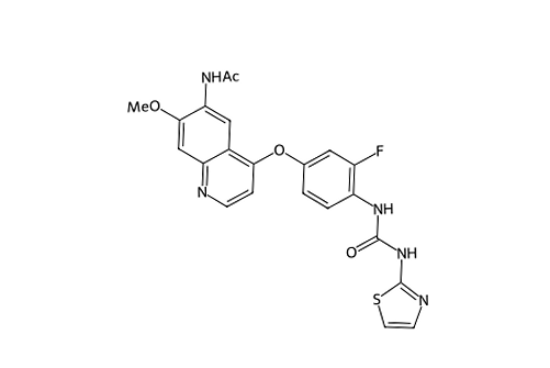 COc1cc2nccc(Oc3ccc(NC(=O)Nc4nccs4)c(F)c3)c2cc1NC(C)=O